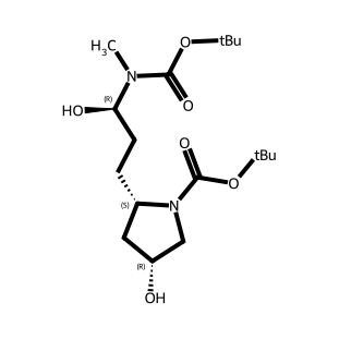 CN(C(=O)OC(C)(C)C)[C@H](O)CC[C@H]1C[C@@H](O)CN1C(=O)OC(C)(C)C